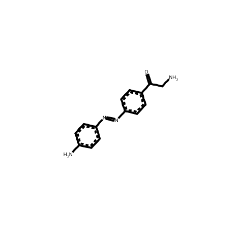 NCC(=O)c1ccc(/N=N/c2ccc(N)cc2)cc1